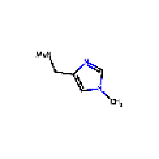 [CH2]NCc1cn(C)cn1